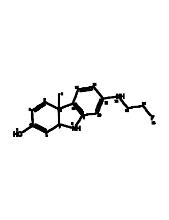 CC12C=CC(O)=CC1Nc1cc(NCCF)ccc12